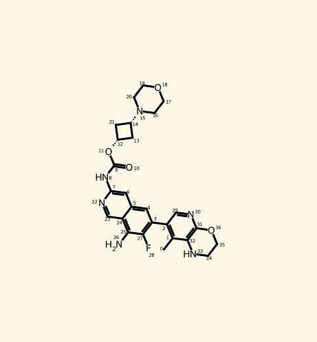 Cc1c(-c2cc3cc(NC(=O)O[C@H]4C[C@@H](N5CCOCC5)C4)ncc3c(N)c2F)cnc2c1NCCO2